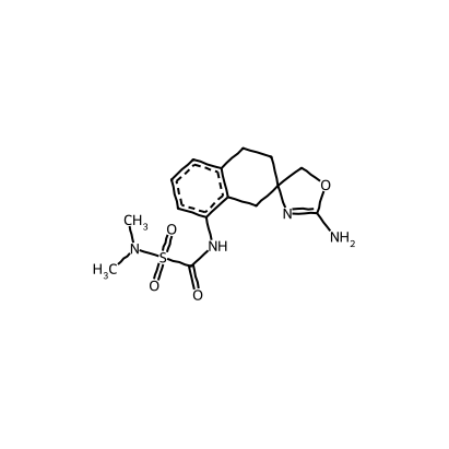 CN(C)S(=O)(=O)C(=O)Nc1cccc2c1CC1(CC2)COC(N)=N1